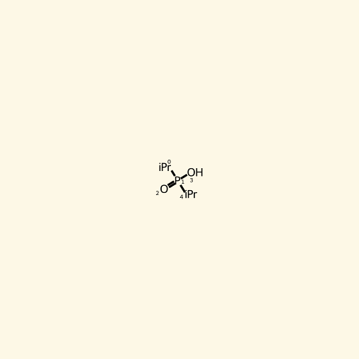 CC(C)P(=O)(O)C(C)C